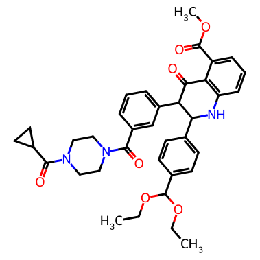 CCOC(OCC)c1ccc(C2Nc3cccc(C(=O)OC)c3C(=O)C2c2cccc(C(=O)N3CCN(C(=O)C4CC4)CC3)c2)cc1